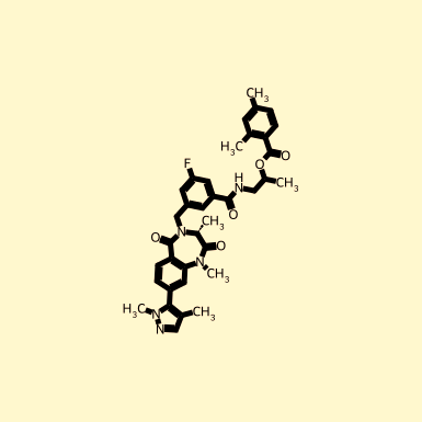 Cc1ccc(C(=O)OC(C)CNC(=O)c2cc(F)cc(CN3C(=O)c4ccc(-c5c(C)cnn5C)cc4N(C)C(=O)[C@H]3C)c2)c(C)c1